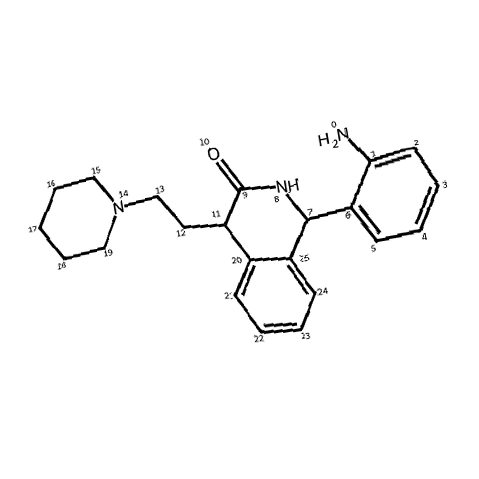 Nc1ccccc1C1NC(=O)C(CCN2CCCCC2)c2ccccc21